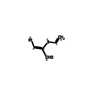 C=CS/C(C=O)=C\CC